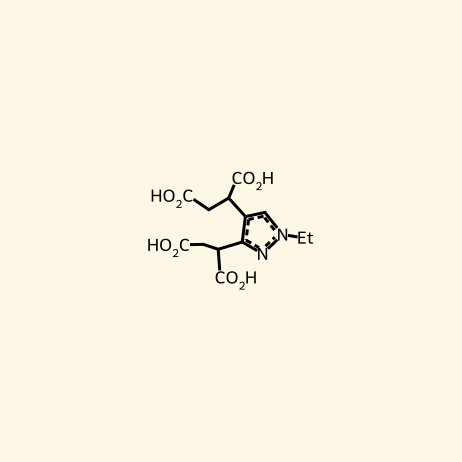 CCn1cc(C(CC(=O)O)C(=O)O)c(C(CC(=O)O)C(=O)O)n1